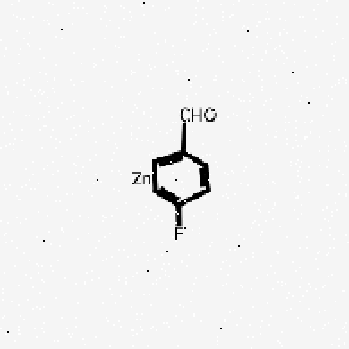 O=Cc1ccc(F)cc1.[Zn]